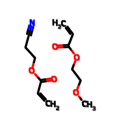 C=CC(=O)OCCC#N.C=CC(=O)OCCOC